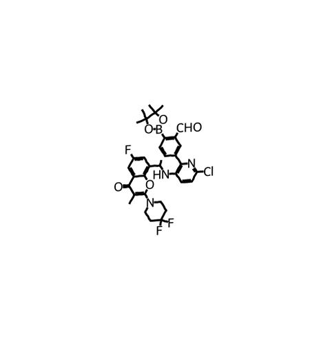 Cc1c(N2CCC(F)(F)CC2)oc2c(C(C)Nc3ccc(Cl)nc3-c3ccc(B4OC(C)(C)C(C)(C)O4)c(C=O)c3)cc(F)cc2c1=O